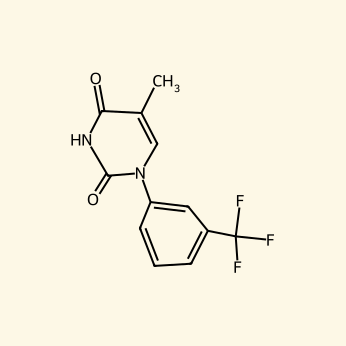 Cc1cn(-c2cccc(C(F)(F)F)c2)c(=O)[nH]c1=O